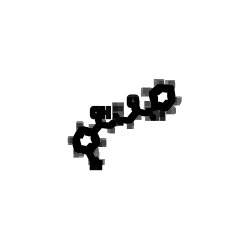 O=C(CNCC(O)c1cccc(Br)c1)Nc1ccccc1